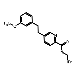 CC(C)CNC(=O)c1ccc(CCc2cccc(OC(F)(F)F)c2)cn1